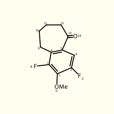 COc1c(F)cc2c(c1F)CCCCC2=O